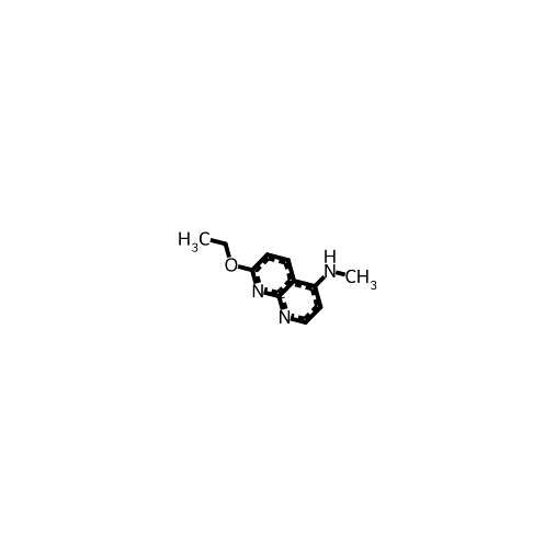 CCOc1ccc2c(NC)ccnc2n1